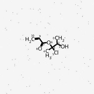 [CH2]C(O)C(C)(Cl)OC(=O)C=C